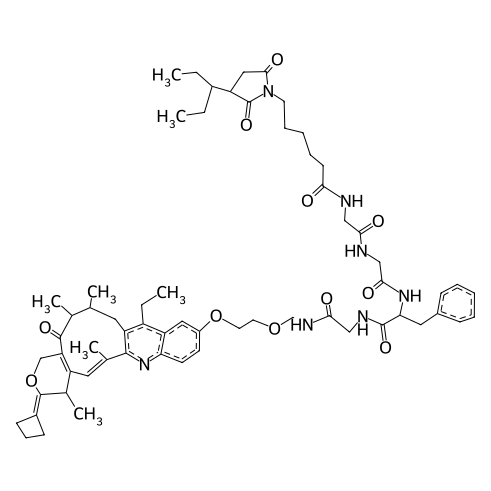 CCc1c2c(nc3ccc(OCCOCNC(=O)CNC(=O)C(Cc4ccccc4)NC(=O)CNC(=O)CNC(=O)CCCCCN4C(=O)CC(C(CC)CC)C4=O)cc13)/C(C)=C/C1=C(COC(=C3CCC3)C1C)C(=O)C(C)C(C)C2